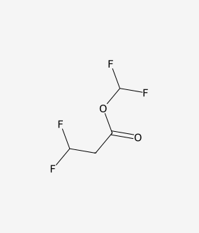 O=C(CC(F)F)OC(F)F